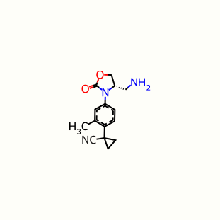 Cc1cc(N2C(=O)OC[C@@H]2CN)ccc1C1(C#N)CC1